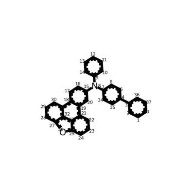 c1ccc(-c2ccc(N(c3ccccc3)c3ccc4c(c3)c3cccc5oc6cccc4c6c53)cc2)cc1